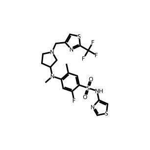 Cc1cc(S(=O)(=O)Nc2cscn2)c(F)cc1N(C)C1CCN(Cc2csc(C(F)(F)F)n2)C1